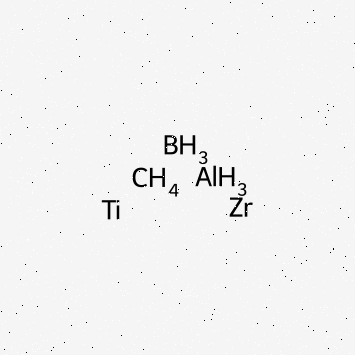 B.C.[AlH3].[Ti].[Zr]